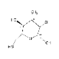 C[C@@H]1C(O)[C@H](O)OC(CO)[C@H]1O